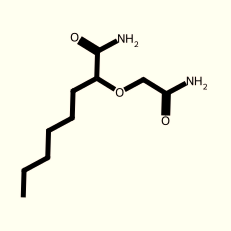 CCCCCCC(OCC(N)=O)C(N)=O